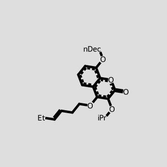 CC/C=C/CCOc1c(OC(C)C)c(=O)oc2c(OCCCCCCCCCC)cccc12